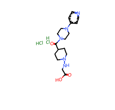 Cl.Cl.O=C(O)CNN1CCC(C(=O)N2CCN(c3ccncc3)CC2)CC1